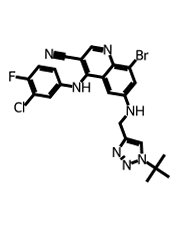 CC(C)(C)n1cc(CNc2cc(Br)c3ncc(C#N)c(Nc4ccc(F)c(Cl)c4)c3c2)nn1